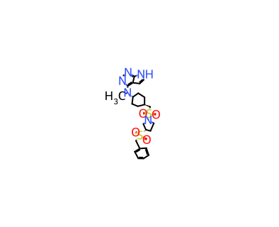 CN(c1ncnc2[nH]ccc12)[C@H]1CC[C@H](CS(=O)(=O)N2CC[C@H](S(=O)(=O)Cc3ccccc3)C2)CC1